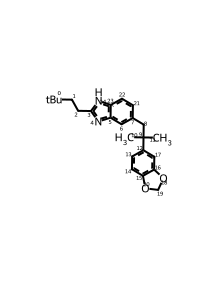 CC(C)(C)CCc1nc2cc(CC(C)(C)c3ccc4c(c3)OCO4)ccc2[nH]1